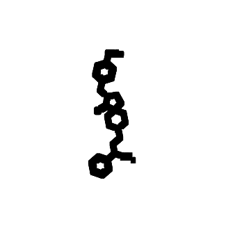 COc1ccc(CN2CCC3(CCN(CCC(N)c4ccccc4)CC3)C2=O)cc1